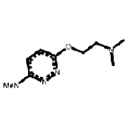 CNc1ccc(OCCN(C)C)nn1